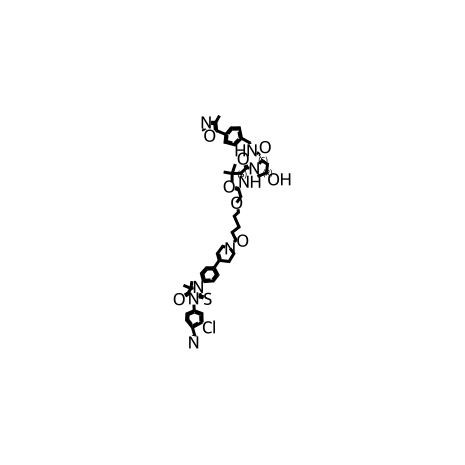 Cc1ncoc1-c1ccc(CNC(=O)[C@@H]2C[C@@H](O)CN2C(=O)[C@@H](NC(=O)COCCCCC(=O)N2CC=C(c3ccc(N4C(=S)N(c5ccc(C#N)c(Cl)c5)C(=O)C4(C)C)cc3)CC2)C(C)(C)C)cc1